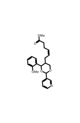 COC(=O)CC/C=C\CC1COC(c2cccnc2)OC1c1ccccc1OC